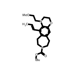 C/C=C/c1c2c(cc3c1N(CCOC)CCO3)CCN(C(=O)OC(C)(C)C)CC2